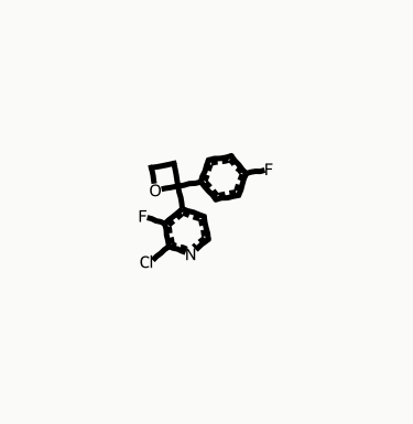 Fc1ccc(C2(c3ccnc(Cl)c3F)CCO2)cc1